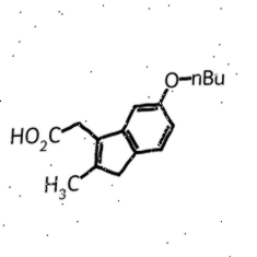 CCCCOc1ccc2c(c1)C(CC(=O)O)=C(C)C2